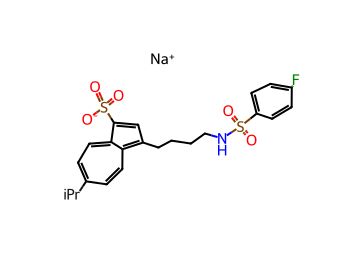 CC(C)c1ccc2c(CCCCNS(=O)(=O)c3ccc(F)cc3)cc(S(=O)(=O)[O-])c-2cc1.[Na+]